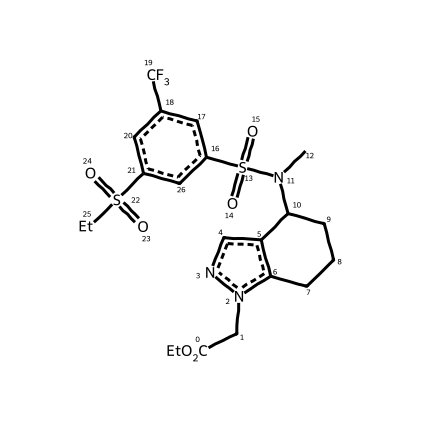 CCOC(=O)Cn1ncc2c1CCCC2N(C)S(=O)(=O)c1cc(C(F)(F)F)cc(S(=O)(=O)CC)c1